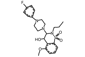 CCCN1C(N2CCN(c3ccc(F)cc3)CC2)C(O)c2c(OC)cccc2S1(=O)=O